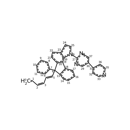 C=C/C=C\C=C\C1(c2ccccc2)c2ccccc2-c2c1ccc1ccn(-c3ncc(-c4ccncc4)cn3)c21